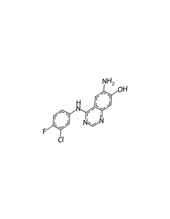 Nc1cc2c(Nc3ccc(F)c(Cl)c3)ncnc2cc1O